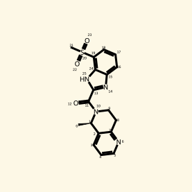 C[C@@H]1c2cccnc2CCN1C(=O)c1nc2cccc(S(C)(=O)=O)c2[nH]1